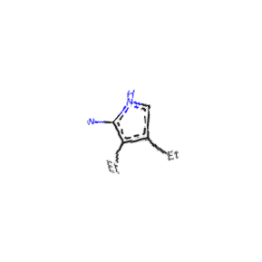 CCc1c[nH]c([N])c1CC